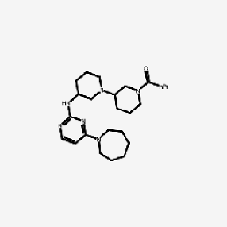 CCCC(=O)N1CCCC(N2CCCC(Nc3nccc(N4CCCCCC4)n3)C2)C1